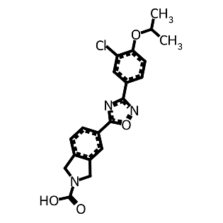 CC(C)Oc1ccc(-c2noc(-c3ccc4c(c3)CN(C(=O)O)C4)n2)cc1Cl